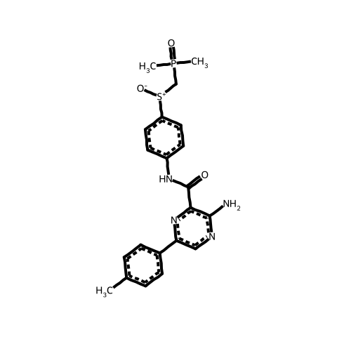 Cc1ccc(-c2cnc(N)c(C(=O)Nc3ccc([S+]([O-])CP(C)(C)=O)cc3)n2)cc1